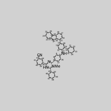 CNC(N/C(=N\Cc1ccc(Nc2ccc(-c3cccc4c3sc3ccccc34)cc2-c2ccccc2)cc1)c1cccc(C#N)c1)c1ccccc1